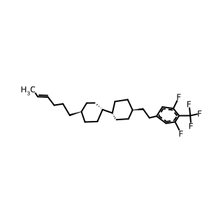 C/C=C/CCC[C@H]1CC[C@H]([C@H]2CC[C@H](CCc3cc(F)c(C(F)(F)F)c(F)c3)CC2)CC1